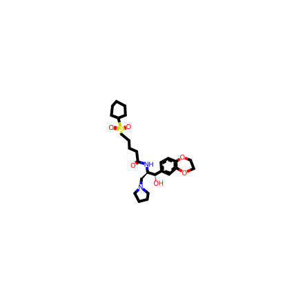 O=C(CCCCS(=O)(=O)C1CCCCC1)N[C@H](CN1CCCC1)[C@@H](O)c1ccc2c(c1)OCCO2